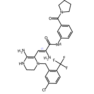 NC1=C(/C=C(\N)C(=O)Nc2cccc(C(=O)N3CCCC3)c2)N(Cc2cc(Cl)ccc2C(F)(F)F)CCN1